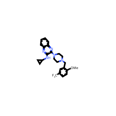 COc1ccc(C(F)(F)F)cc1CN1CCN(c2nc3ccccc3nc2NC2CC2)CC1